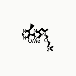 COc1ncnc(C2CC2)c1-c1ncc2c(cc(C)n2COCC[Si](C)(C)C)n1